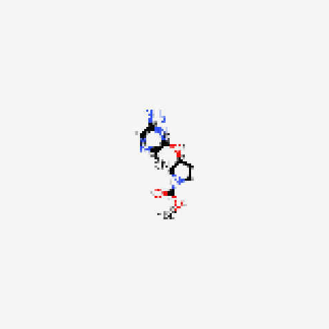 CCCCOC(=O)N1CCC(Oc2nc(N)cnc2C#N)C1